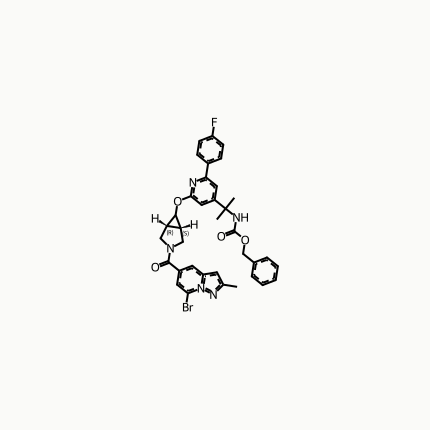 Cc1cc2cc(C(=O)N3C[C@@H]4C(Oc5cc(C(C)(C)NC(=O)OCc6ccccc6)cc(-c6ccc(F)cc6)n5)[C@@H]4C3)cc(Br)n2n1